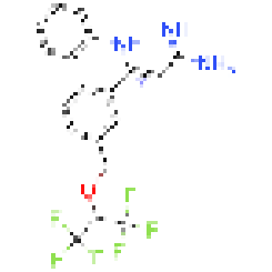 N=C(N)/C=C(\Nc1ccccc1)c1cccc(COC(C(F)(F)F)C(F)(F)F)c1